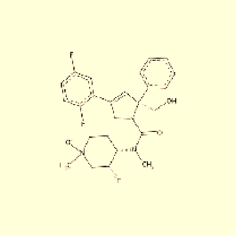 CN(C(=O)N1CC(c2cc(F)ccc2F)=C[C@@]1(CO)c1ccccc1)[C@H]1CC[N+](C)([O-])C[C@H]1F